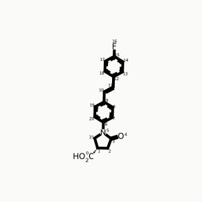 O=C(O)[C@H]1CC(=O)N(c2ccc(/C=C/c3ccc(F)cc3)cc2)C1